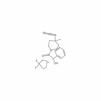 CC1(N=[N+]=[N-])CCN(C(=O)C(O)(c2ccccc2)[C@@H]2CCC(F)(F)C2)CC1